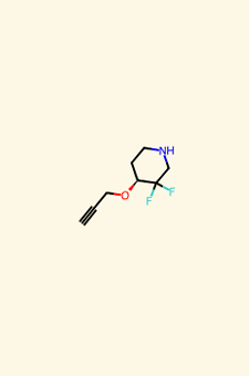 C#CCO[C@H]1CCNCC1(F)F